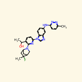 Cc1ccc(Nc2ccc3c(c2)ncn3-c2ccc(C(C)O)c(N3CC4CC3CC4(C)F)n2)nn1